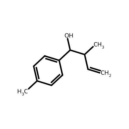 C=CC(C)C(O)c1ccc(C)cc1